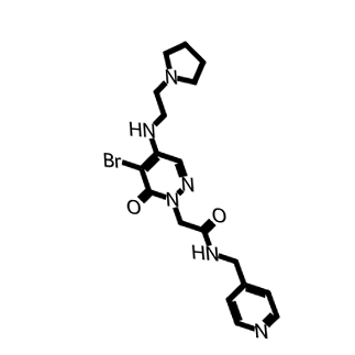 O=C(Cn1ncc(NCCN2CCCC2)c(Br)c1=O)NCc1ccncc1